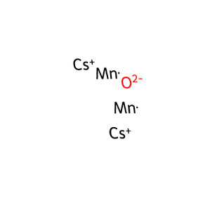 [Cs+].[Cs+].[Mn].[Mn].[O-2]